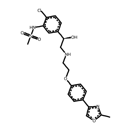 Cc1nc(-c2ccc(OCCNC[C@H](O)c3ccc(Cl)c(NS(C)(=O)=O)c3)cc2)co1